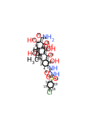 C[C@H]1c2ccc(NC(=O)NS(=O)(=O)c3ccc(Cl)cc3)c(O)c2C(=O)C2=C(O)[C@]3(O)C(=O)C(C(N)=O)=C(O)C[C@@H]3[C@@H](O)[C@@H]21